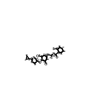 O=C(NC(=S)Nc1cc(Cl)c(Oc2cnc(C3CC3)nc2)c(Cl)c1)c1ccccc1Br